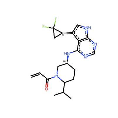 C=CC(=O)N1C[C@@H](Nc2ncnc3[nH]cc([C@H]4CC4(F)F)c23)CCC1C(C)C